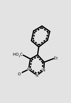 CCc1nn[n+]([O-])c(C(=O)O)c1-c1ccccc1